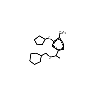 [CH2]C(OCC1CCCCC1)c1ccc(OC)c(OC2CCCC2)c1